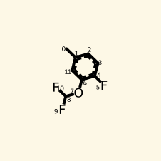 Cc1ccc(F)c(OC(F)F)c1